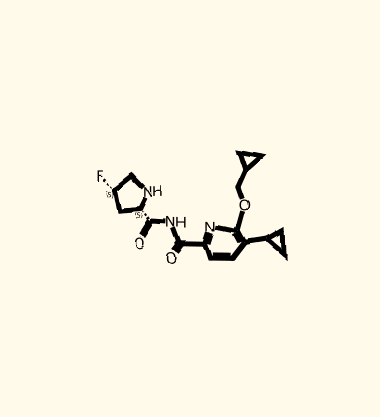 O=C(NC(=O)[C@@H]1C[C@H](F)CN1)c1ccc(C2CC2)c(OCC2CC2)n1